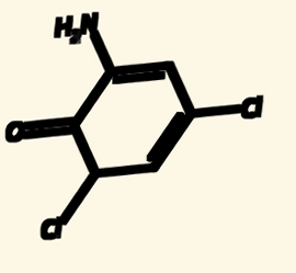 NC1=CC(Cl)=CC(Cl)C1=O